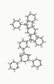 c1ccc(-c2cc(-c3ccccc3)nc(-c3cccc(-n4c5ccccc5c5cc6c7ccccc7n(-c7ccccc7)c6cc54)c3)n2)cc1